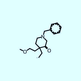 [CH2]CC1(CCOC)CCN(Cc2ccccc2)CC1=O